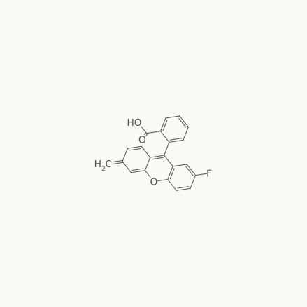 C=c1ccc2c(c1)Oc1ccc(F)cc1C=2c1ccccc1C(=O)O